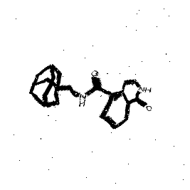 O=C(NCC12CC3CC(CC(C3)C1)C2)c1cccc2c(=O)[nH]ccc12